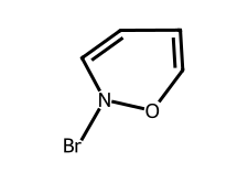 BrN1C=CC=CO1